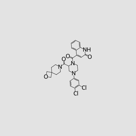 O=C(C1CN(c2ccc(Cl)c(Cl)c2)CCN1C(=O)c1cc(=O)[nH]c2ccccc12)N1CCC2(CC1)COC2